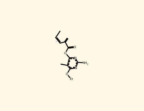 C=C(/C=C\C)C(=O)Oc1nc(N)nc(OCC)c1C